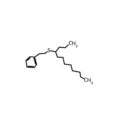 CCCCCCCCC(CCC)SCCc1ccccc1